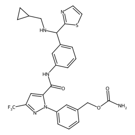 NC(=O)OCc1cccc(-n2nc(C(F)(F)F)cc2C(=O)Nc2cccc(C(NCC3CC3)c3nccs3)c2)c1